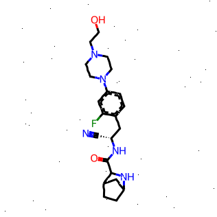 N#C[C@H](Cc1ccc(N2CCN(CCO)CC2)cc1F)NC(=O)C1NC2CCC1C2